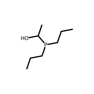 CCCP(CCC)C(C)O